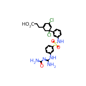 NC(=O)N=C(N)Nc1cccc(S(=O)(=O)Nc2cccc(C3(Cl)C=C(Cl)C=C(CCC(=O)O)C3)c2)c1